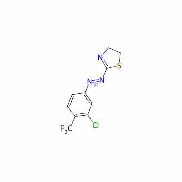 FC(F)(F)c1ccc(/N=N/C2=NCCS2)cc1Cl